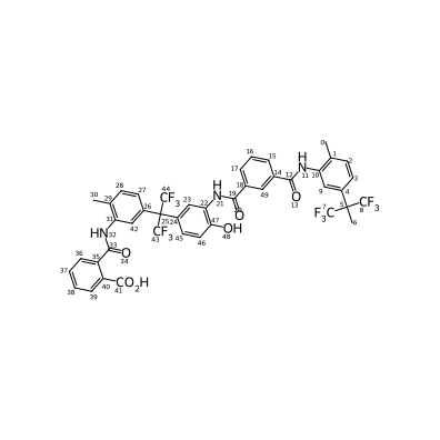 Cc1ccc(C(C)(C(F)(F)F)C(F)(F)F)cc1NC(=O)c1cccc(C(=O)Nc2cc(C(c3ccc(C)c(NC(=O)c4ccccc4C(=O)O)c3)(C(F)(F)F)C(F)(F)F)ccc2O)c1